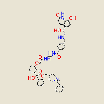 O=C(COc1cccc(C(O)(C(=O)OCC2CCN(Cc3ccccc3)CC2)c2ccccc2)c1)NCCNC(=O)c1ccc(CNC[C@H](O)c2ccc(O)c3[nH]c(=O)ccc23)cc1